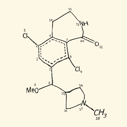 COC(c1cc(Cl)c2c(c1Cl)C(=O)NCC2)C1CN(C)C1